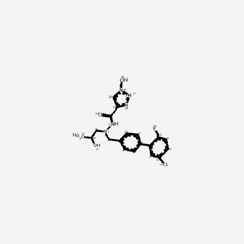 O=C(NN(Cc1ccc(-c2cc(Cl)ccc2F)cc1)CC(O)C(=O)O)c1cn(O)nn1